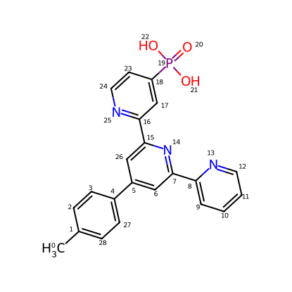 Cc1ccc(-c2cc(-c3ccccn3)nc(-c3cc(P(=O)(O)O)ccn3)c2)cc1